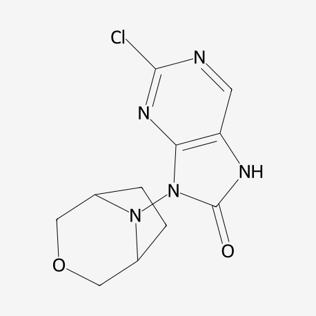 O=c1[nH]c2cnc(Cl)nc2n1N1C2CCC1COC2